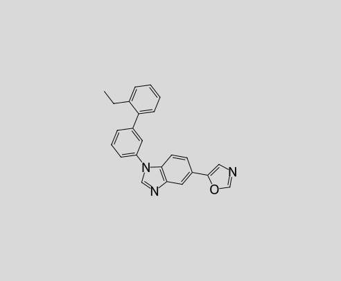 CCc1ccccc1-c1cccc(-n2cnc3cc(-c4cnco4)ccc32)c1